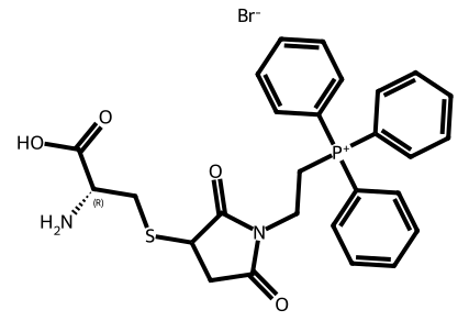 N[C@@H](CSC1CC(=O)N(CC[P+](c2ccccc2)(c2ccccc2)c2ccccc2)C1=O)C(=O)O.[Br-]